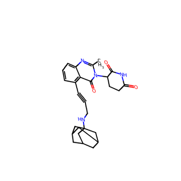 Cc1nc2cccc(C#CCNC34CC5CC(CC(C5)C3)C4)c2c(=O)n1C1CCC(=O)NC1=O